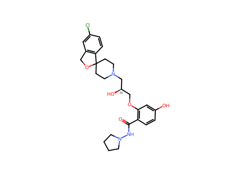 O=C(NN1CCCC1)c1ccc(O)cc1OC[C@@H](O)CN1CCC2(CC1)OCc1cc(Cl)ccc12